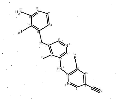 C#Cc1cnc(Nc2cncc(Cc3ccnc(N)c3F)c2C)c(F)c1